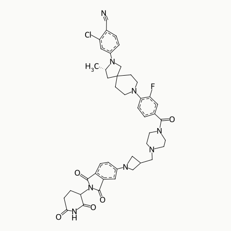 C[C@H]1CC2(CCN(c3ccc(C(=O)N4CCN(CC5CN(c6ccc7c(c6)C(=O)N(C6CCC(=O)NC6=O)C7=O)C5)CC4)cc3F)CC2)CN1c1ccc(C#N)c(Cl)c1